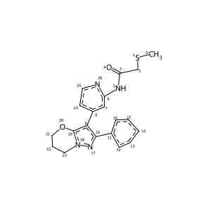 CSCC(=O)Nc1cc(-c2c(-c3ccccc3)nn3c2OCCC3)ccn1